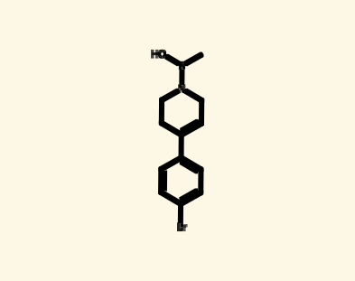 CB(O)N1CC=C(c2ccc(Br)cc2)CC1